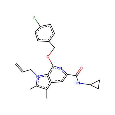 C=CCn1c(C)c(C)c2cc(C(=O)NC3CC3)nc(OCc3ccc(F)cc3)c21